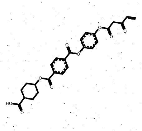 C=CC(=O)CC(=O)Oc1ccc(OC(=O)c2ccc(C(=O)OC3CCC(C(=O)O)CC3)cc2)cc1